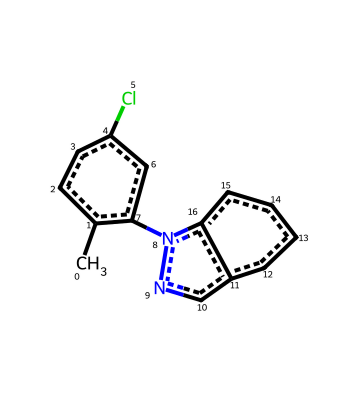 Cc1ccc(Cl)cc1-n1ncc2ccccc21